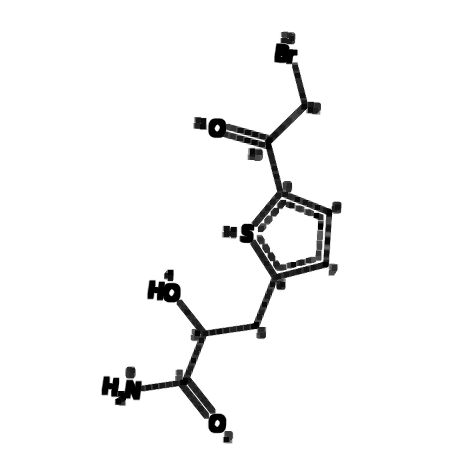 NC(=O)C(O)Cc1ccc(C(=O)CBr)s1